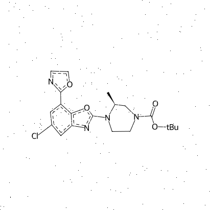 C[C@H]1CN(C(=O)OC(C)(C)C)CCN1c1nc2cc(Cl)cc(-c3ncco3)c2o1